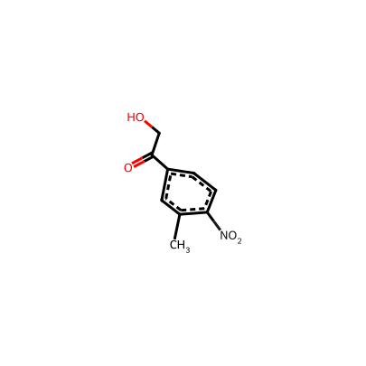 Cc1cc(C(=O)CO)ccc1[N+](=O)[O-]